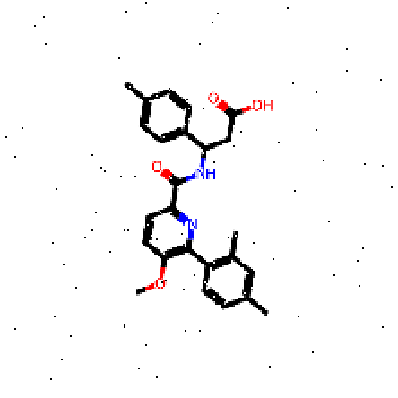 COc1ccc(C(=O)NC(CC(=O)O)c2ccc(C)cc2)nc1-c1ccc(C)cc1C